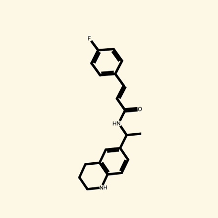 CC(NC(=O)/C=C/c1ccc(F)cc1)c1ccc2c(c1)CCCN2